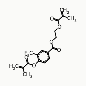 C=C(C)C(=O)OCCOC(=O)c1ccc(OC(=O)C(=C)C)c(C(F)(F)F)c1